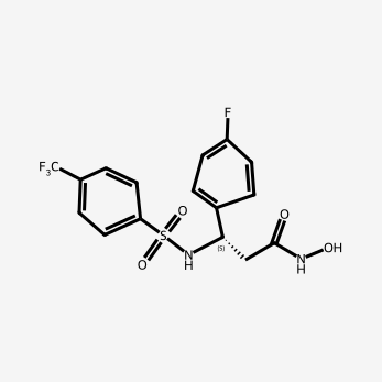 O=C(C[C@H](NS(=O)(=O)c1ccc(C(F)(F)F)cc1)c1ccc(F)cc1)NO